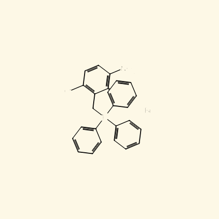 O=[N+]([O-])c1ccc(Cl)c(C[P+](c2ccccc2)(c2ccccc2)c2ccccc2)c1.[Br-]